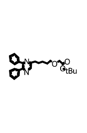 CC(C)(C)OC(=O)COCCCCCc1cnc(-c2ccccc2)c(-c2ccccc2)n1